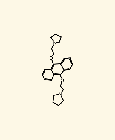 c1ccc2c(OCCN3CCCC3)c3ccccc3c(OCCN3CCCC3)c2c1